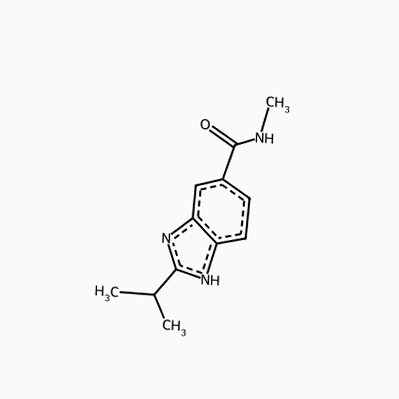 CNC(=O)c1ccc2[nH]c(C(C)C)nc2c1